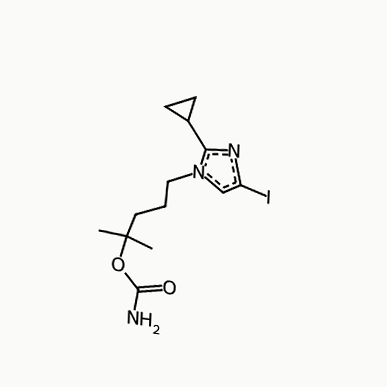 CC(C)(CCCn1cc(I)nc1C1CC1)OC(N)=O